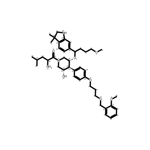 COCCCC(O[C@H]1CN(C(=O)C(N)CC(C)C)C[C@@H](O)[C@@H]1c1ccc(OCCCOCc2ccccc2OC)cc1)c1ccc2c(c1)NCC2(C)C